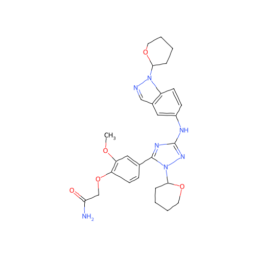 COc1cc(-c2nc(Nc3ccc4c(cnn4C4CCCCO4)c3)nn2C2CCCCO2)ccc1OCC(N)=O